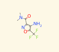 CN(C)C(=O)c1noc(C(F)(F)F)c1N